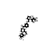 O=C(c1cccc(OCC2CCCN2c2cn[nH]c(=O)c2C(F)(F)F)c1)N1CCN2c3ncc(C(F)(F)F)cc3OCCC2C1